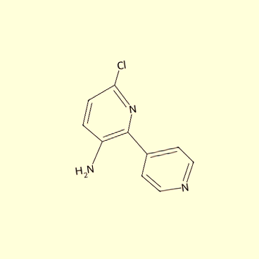 Nc1ccc(Cl)nc1-c1ccncc1